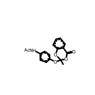 CC(=O)Nc1ccc(OC2(C)OC(=O)c3ccccc3O2)cc1